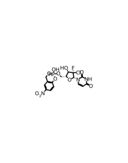 O=c1ccn([C@@H]2O[C@H](CO[PH]3(O)OCc4cc([N+](=O)[O-])ccc4O3)[C@@H](O)[C@@]2(F)Cl)c(=O)[nH]1